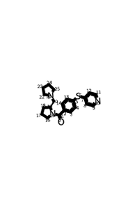 O=C(c1ccc(Sc2ccncc2)cc1)N1CCC[C@H]1CN1CCCC1